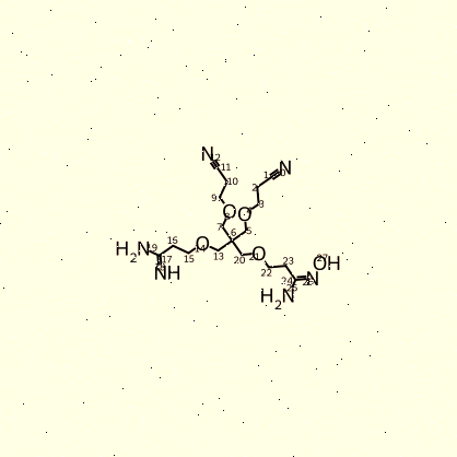 N#CCCOCC(COCCC#N)(COCCC(=N)N)COCC/C(N)=N\O